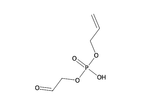 C=CCOP(=O)(O)OCC=O